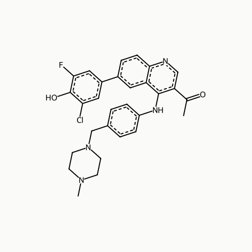 CC(=O)c1cnc2ccc(-c3cc(F)c(O)c(Cl)c3)cc2c1Nc1ccc(CN2CCN(C)CC2)cc1